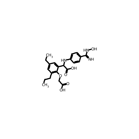 CCCc1cc(CC)cc(C(Nc2ccc(C(=N)NO)cc2)C(=O)O)c1OCC(=O)O